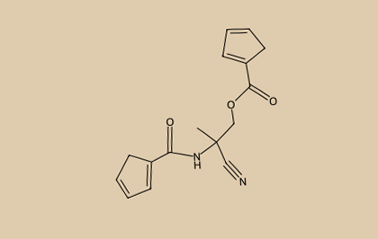 CC(C#N)(COC(=O)C1=CC=CC1)NC(=O)C1=CC=CC1